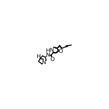 CC#Cc1cc2cnc(C(=O)N[C@@H]3C[C@H]4CCN(C4)C3)cc2o1